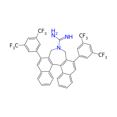 N=C(N)N1Cc2c(-c3cc(C(F)(F)F)cc(C(F)(F)F)c3)cc3ccccc3c2-c2c(c(-c3cc(C(F)(F)F)cc(C(F)(F)F)c3)cc3ccccc23)C1